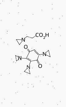 O=C(O)CCN1CC1.O=C1C=C(N2CC2)C(=O)C(N2CC2)=C1N1CC1